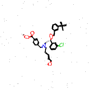 COC(=O)c1ccc(CN(CCCCC=O)C[C@H](OCc2cccc(C(C)(C)C)c2)c2cccc(Cl)c2)cc1